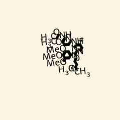 COc1cc(N(OCCN(C)C)c2ncc(F)c(Nc3ccc4c(n3)NC(=O)C(C)(C)O4)n2)cc(OC)c1OC